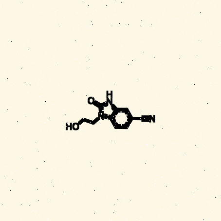 N#Cc1ccc2c(c1)[nH]c(=O)n2CCO